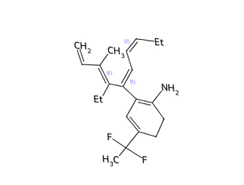 C=C/C(C)=C(CC)/C(=C\C=C/CC)C1=C(N)CCC(C(C)(F)F)=C1